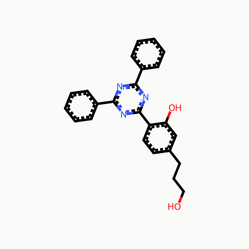 OCCCc1ccc(-c2nc(-c3ccccc3)nc(-c3ccccc3)n2)c(O)c1